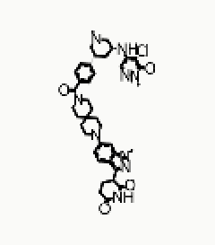 CN1C[C@H](Nc2cnn(C)c(=O)c2Cl)C[C@H](c2ccc(C(=O)N3CCC4(CC3)CCN(c3ccc5c(C6CCC(=O)NC6=O)nn(C)c5c3)CC4)cc2)C1